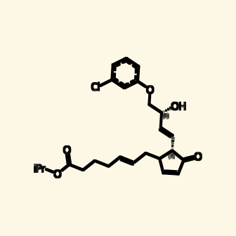 CC(C)OC(=O)CCCC=CCC1C=CC(=O)[C@H]1C=C[C@@H](O)COc1cccc(Cl)c1